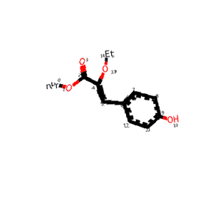 CCCOC(=O)C(=Cc1ccc(O)cc1)OCC